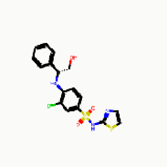 O=S(=O)(Nc1nccs1)c1ccc(N[C@@H](CO)c2ccccc2)c(Cl)c1